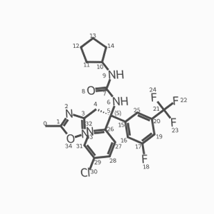 Cc1nc(C[C@](NC(=O)NC2CCCC2)(c2cc(F)cc(C(F)(F)F)c2)c2ccc(Cl)cn2)no1